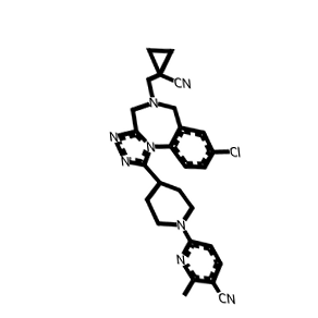 Cc1nc(N2CCC(c3nnc4n3-c3ccc(Cl)cc3CN(CC3(C#N)CC3)C4)CC2)ccc1C#N